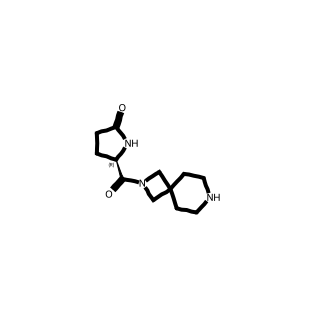 O=C1CC[C@H](C(=O)N2CC3(CCNCC3)C2)N1